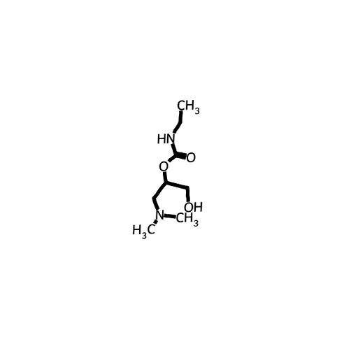 CCNC(=O)OC(CO)CN(C)C